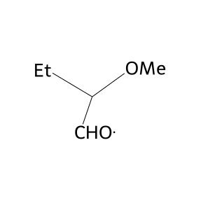 CCC([C]=O)OC